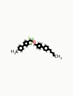 CC=CCCC1CCC(c2ccc(COC(F)(F)C(F)c3ccc(C4CCC(C)CC4)cc3)cc2)CC1